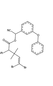 CC(C)C(C(=O)OC(C#N)c1cccc(Oc2ccccc2)c1)C(C)(C)C=C(Br)Br